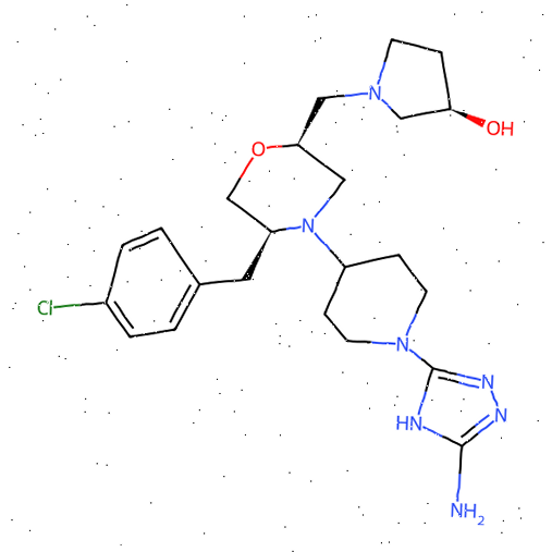 Nc1nnc(N2CCC(N3C[C@H](CN4CC[C@@H](O)C4)OC[C@@H]3Cc3ccc(Cl)cc3)CC2)[nH]1